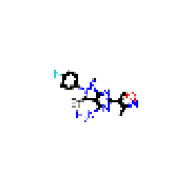 CCC1c2c(N)nc(-c3conc3C)nc2N(C)N1c1ccc(F)cc1